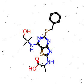 CC(Nc1nc2nc(SCc3ccccc3)nc(NC(C)(C)CO)c2s1)C(=O)O